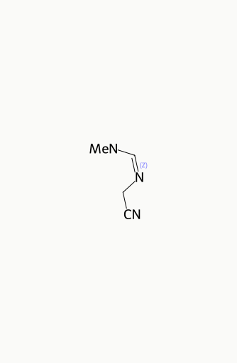 CN/C=N\CC#N